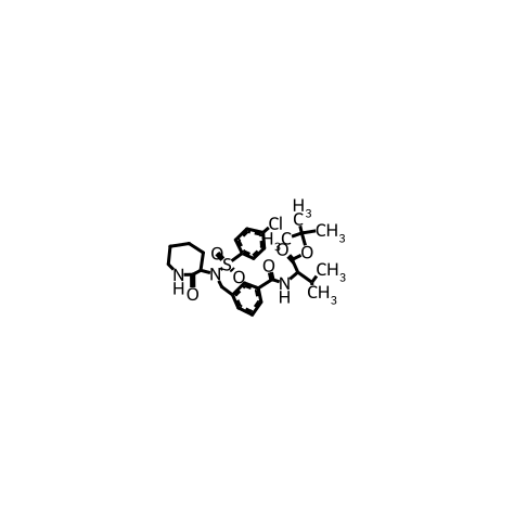 CC(C)C(NC(=O)c1cccc(CN(C2CCCCNC2=O)S(=O)(=O)c2ccc(Cl)cc2)c1)C(=O)OC(C)(C)C